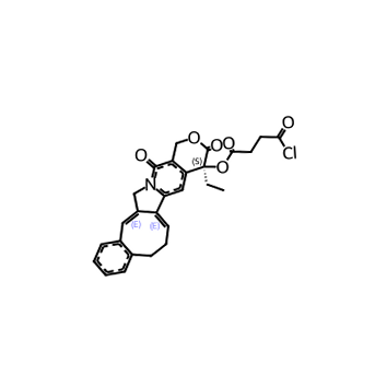 CC[C@@]1(OC(=O)CCC(=O)Cl)C(=O)OCc2c1cc1n(c2=O)CC2=C/c3ccccc3CC/C=C\21